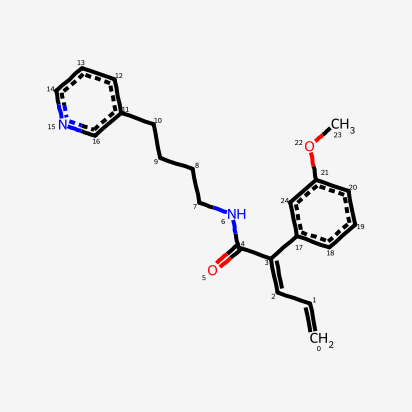 C=CC=C(C(=O)NCCCCc1cccnc1)c1cccc(OC)c1